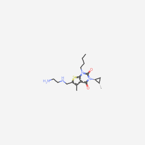 CCCCn1c(=O)n([C@H]2C[C@@H]2C)c(=O)c2c(C)c(CNCCN)sc21